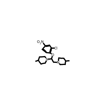 CC1CCN(CC(Oc2ccc([N+](=O)[O-])cc2Cl)N2CCC(C)CC2)CC1